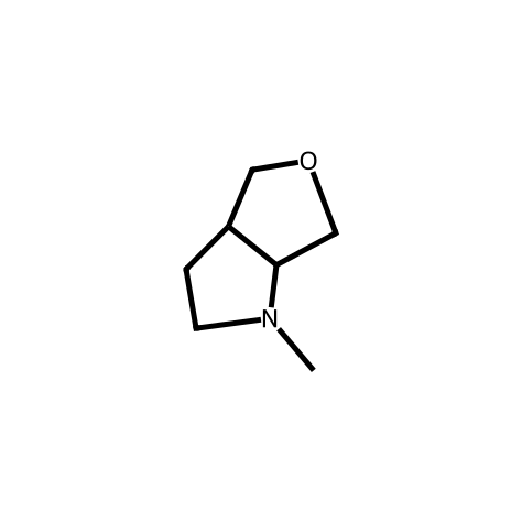 CN1CCC2COCC21